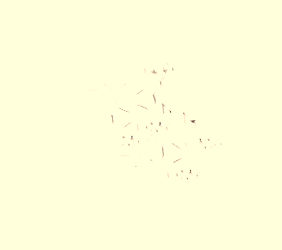 C=Cc1c(OC)cc(OC)cc1OC.COc1ccccc1-c1cc(N2CCN(C)CC2)c(C=S(=O)=O)cc1C(=O)O